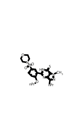 CCCOc1ccc(S(=O)(=O)N2CCOCC2)cc1-c1nc2c(CCC)nn(C)c2c(=S)[nH]1